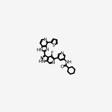 O=C(Nc1cncc(-c2ncc3[nH]nc(-c4nc5c(-c6cccs6)nccc5[nH]4)c3c2F)c1)C1CCCCC1